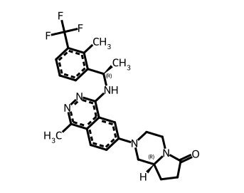 Cc1c([C@@H](C)Nc2nnc(C)c3ccc(N4CCN5C(=O)CC[C@@H]5C4)cc23)cccc1C(F)(F)F